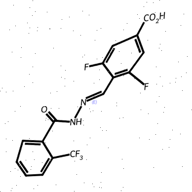 O=C(O)c1cc(F)c(/C=N/NC(=O)c2ccccc2C(F)(F)F)c(F)c1